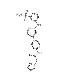 NS(=O)(=O)c1cccc(Nc2nccc(-c3ccc(NC(=O)Cc4ccsc4)cc3)n2)c1